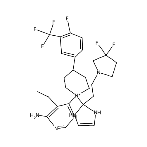 CCc1c(N)ncnc1[N+]1(C2(CCN3CCC(F)(F)C3)NC=CN2)CCC(c2ccc(F)c(C(F)(F)F)c2)CC1